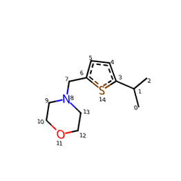 CC(C)c1ccc(CN2CCOCC2)s1